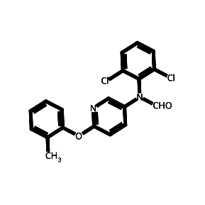 Cc1ccccc1Oc1ccc(N(C=O)c2c(Cl)cccc2Cl)cn1